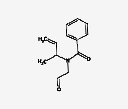 C=CC(C)N(CC=O)C(=O)c1ccccc1